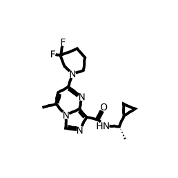 Cc1cc(N2CCCC(F)(F)C2)nc2c(C(=O)N[C@@H](C)C3CC3)ncn12